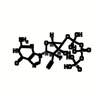 C#C[C@]1(F)[C@H](n2cnc3c(=O)[nH]c(N)nc32)O[C@@H]2C(OP(=O)(O)OP(=O)(O)OP(=O)(O)O)[C@@]21O